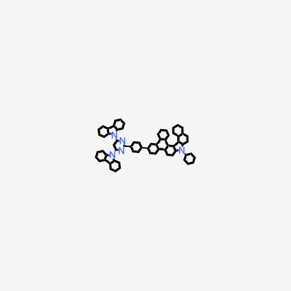 c1ccc(-n2c3ccc4ccccc4c3c3c4c5ccccc5c5cc(-c6ccc(-c7nc(-n8c9ccccc9c9ccccc98)cc(-n8c9ccccc9c9ccccc98)n7)cc6)ccc5c4ccc32)cc1